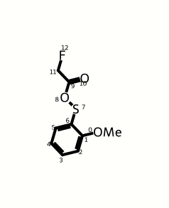 COc1ccccc1SOC(=O)CF